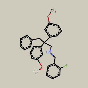 Fc1ccccc1CNCC(Cc1ccccc1)(c1cccc(OC(F)(F)F)c1)c1cccc(OC(F)(F)F)c1